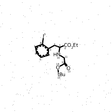 CCOC(=O)C(Cc1ccccc1I)NCC(=O)OC(C)(C)C